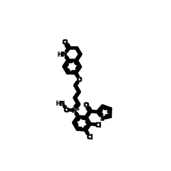 O=C1CCc2cc(OCCCC=[N+](OS)c3ccc(Cl)c(Cl)c3C(=O)c3cccs3)ccc2N1